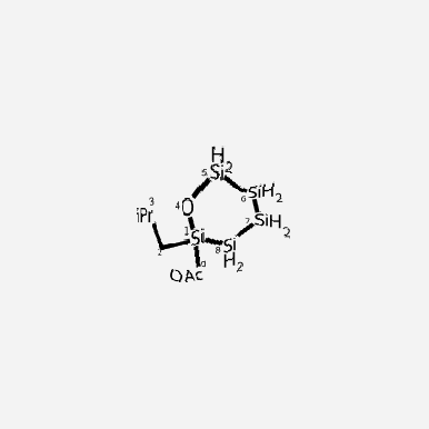 CC(=O)O[Si]1(CC(C)C)O[SiH2][SiH2][SiH2][SiH2]1